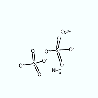 O=S(=O)([O-])[O-].O=S(=O)([O-])[O-].[Co+3].[NH4+]